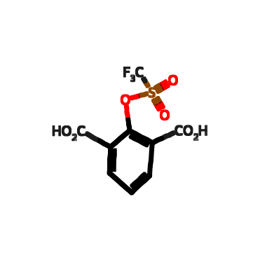 O=C(O)c1cccc(C(=O)O)c1OS(=O)(=O)C(F)(F)F